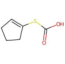 O=C(O)SC1=CCCC1